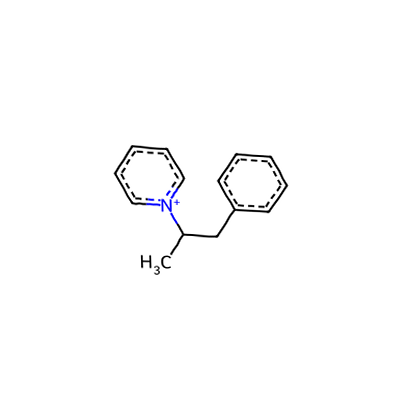 CC(Cc1ccccc1)[n+]1ccccc1